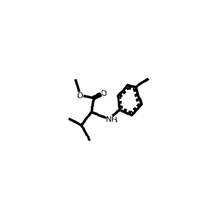 COC(=O)C(Nc1ccc(C)cc1)C(C)C